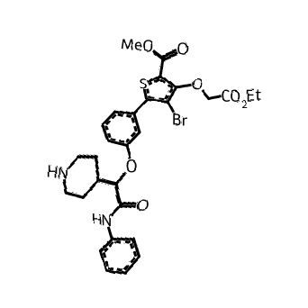 CCOC(=O)COc1c(C(=O)OC)sc(-c2cccc(OC(C(=O)Nc3ccccc3)C3CCNCC3)c2)c1Br